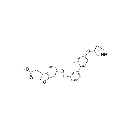 COC(=O)CC1COc2cc(OCc3cccc(-c4c(C)cc(OC5CCNC5)cc4C)c3)ccc21